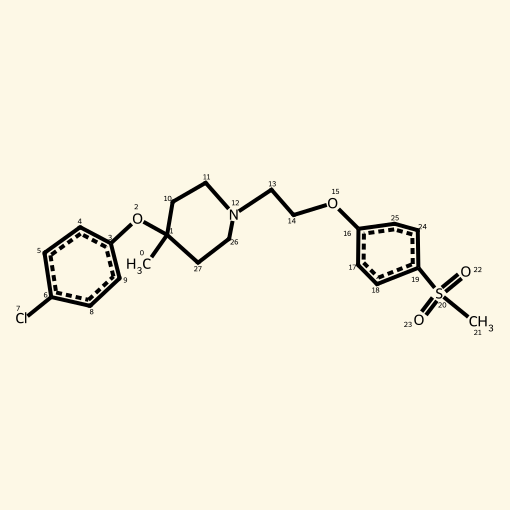 CC1(Oc2ccc(Cl)cc2)CCN(CCOc2ccc(S(C)(=O)=O)cc2)CC1